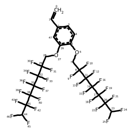 C=Cc1ccc(OCC(F)(F)C(F)(F)C(F)(F)C(F)(F)C(F)(F)C(F)F)c(OCC(F)(F)C(F)(F)C(F)(F)C(F)(F)C(F)(F)C(F)F)c1